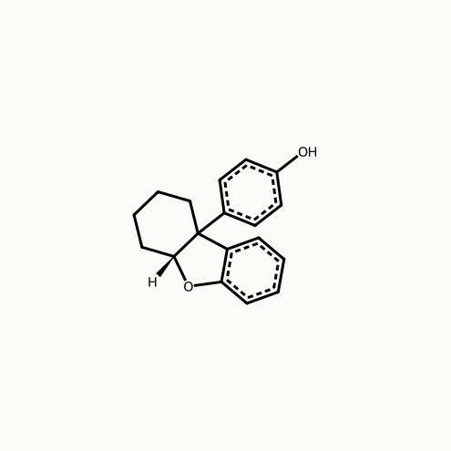 Oc1ccc(C23CCCC[C@H]2Oc2ccccc23)cc1